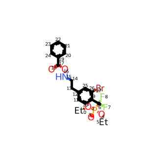 CCOP(=O)(OCC)C(F)(F)c1ccc(CCNOC(=O)c2ccccc2)cc1Br